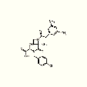 Cc1cc(C)cc(CC(=O)N2CC[C@]2(C)C(=O)N(Cc2ccc(Cl)cc2)C(C)C(=O)O)c1